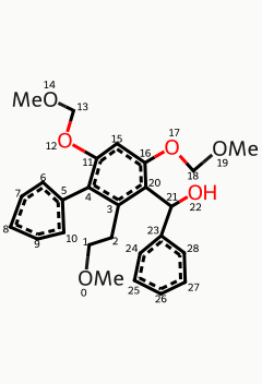 COCCc1c(-c2ccccc2)c(OCOC)cc(OCOC)c1C(O)c1ccccc1